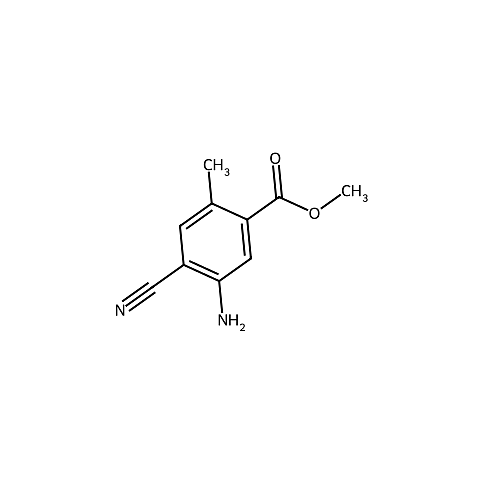 COC(=O)c1cc(N)c(C#N)cc1C